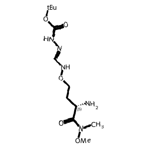 CON(C)C(=O)[C@@H](N)CCONC=NNC(=O)OC(C)(C)C